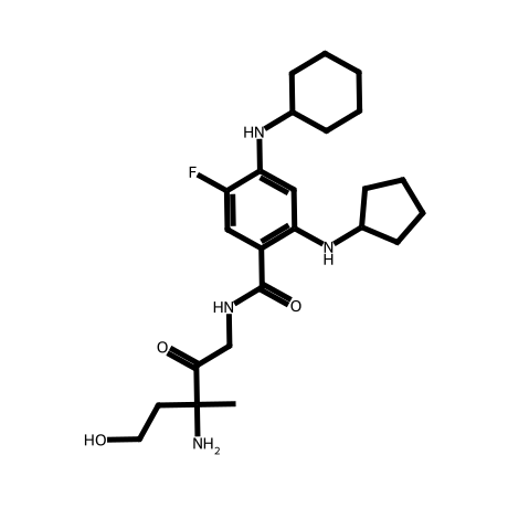 CC(N)(CCO)C(=O)CNC(=O)c1cc(F)c(NC2CCCCC2)cc1NC1CCCC1